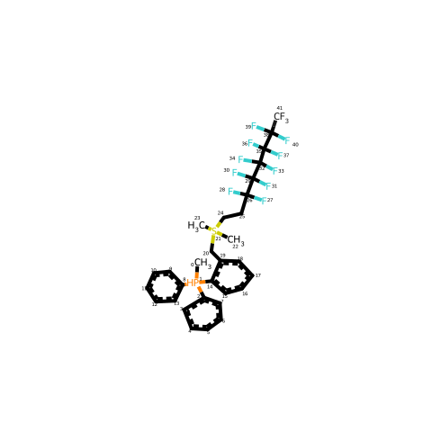 C[PH](c1ccccc1)(c1ccccc1)c1ccccc1CS(C)(C)CCC(F)(F)C(F)(F)C(F)(F)C(F)(F)C(F)(F)C(F)(F)F